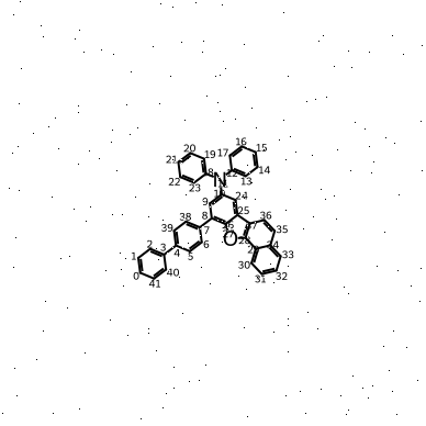 c1ccc(-c2ccc(-c3cc(N(c4ccccc4)c4ccccc4)cc4c3oc3c5ccccc5ccc43)cc2)cc1